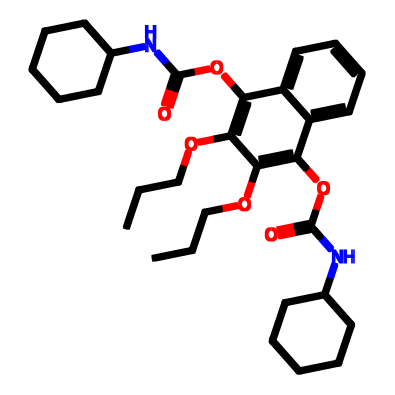 CCCOc1c(OCCC)c(OC(=O)NC2CCCCC2)c2ccccc2c1OC(=O)NC1CCCCC1